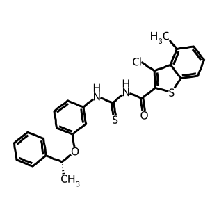 Cc1cccc2sc(C(=O)NC(=S)Nc3cccc(O[C@H](C)c4ccccc4)c3)c(Cl)c12